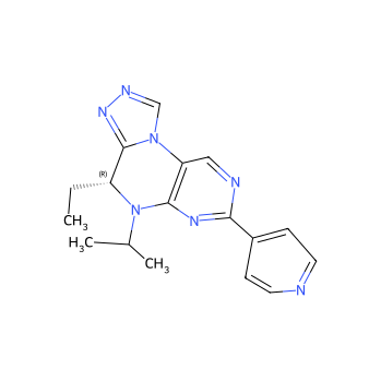 CC[C@@H]1c2nncn2-c2cnc(-c3ccncc3)nc2N1C(C)C